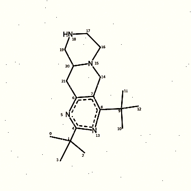 CC(C)(C)c1nc2c(c(C(C)(C)C)n1)CN1CCNCC1C2